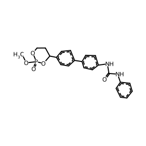 COP1(=O)OCCC(c2ccc(-c3ccc(NC(=O)Nc4ccccc4)cc3)cc2)O1